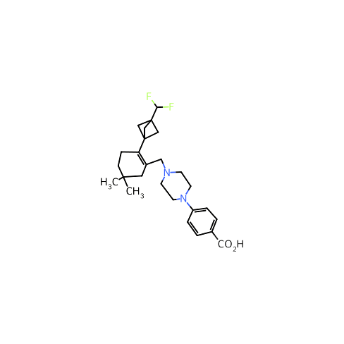 CC1(C)CCC(C23CC(C(F)F)(C2)C3)=C(CN2CCN(c3ccc(C(=O)O)cc3)CC2)C1